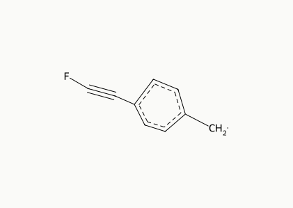 [CH2]c1ccc(C#CF)cc1